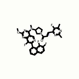 COc1nc(N(C)C2CCN(C(=O)/C=C/c3nc(C)nc(C)c3F)C2)c2cnc(-c3cccc4ccc(F)c(F)c34)c(F)c2n1